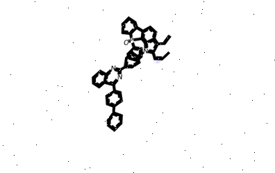 C=Cc1c(/C=C\C)n(-c2ccc(-c3nc(-c4ccc(-c5ccccc5)cc4)c4ccccc4n3)cc2)c2c3c(ccc12)-c1ccccc1P3(=O)c1ccccc1